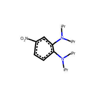 CC(C)N(c1ccc([N+](=O)[O-])cc1N(C(C)C)C(C)C)C(C)C